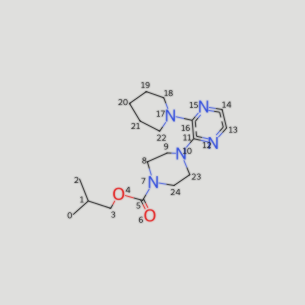 CC(C)COC(=O)N1CCN(c2nccnc2N2CCCCC2)CC1